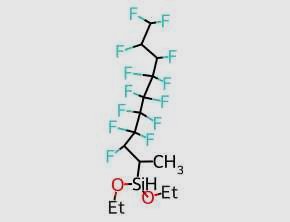 CCO[SiH](OCC)C(C)C(F)C(F)(F)C(F)(F)C(F)(F)C(F)(F)C(F)C(F)C(F)F